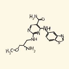 COC[C@H](N)CNc1ncc(C(N)=O)c(Nc2ccc3scnc3c2)n1